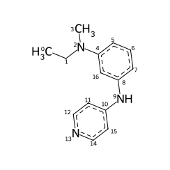 CCN(C)c1cccc(Nc2ccncc2)c1